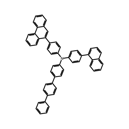 c1ccc(-c2ccc(-c3ccc(N(c4ccc(-c5cccc6ccccc56)cc4)c4ccc(-c5cc6ccccc6c6ccccc56)cc4)cc3)cc2)cc1